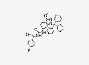 COCC(NC(=O)Nc1cc2c(cn1)c(OC)nn2C(c1ccccc1)(c1ccccc1)c1ccccc1)c1ccc(F)cc1